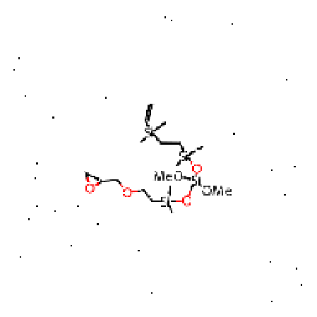 C=C[Si](C)(C)CC[Si](C)(C)O[Si](OC)(OC)O[Si](C)(C)CCOCC1CO1